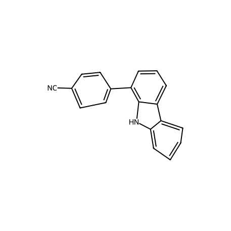 N#Cc1ccc(-c2cccc3c2[nH]c2ccccc23)cc1